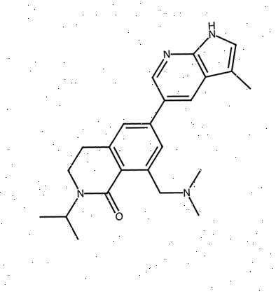 Cc1c[nH]c2ncc(-c3cc4c(c(CN(C)C)c3)C(=O)N(C(C)C)CC4)cc12